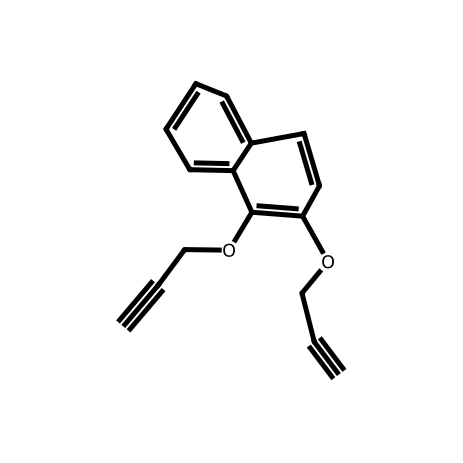 C#CCOc1ccc2ccccc2c1OCC#C